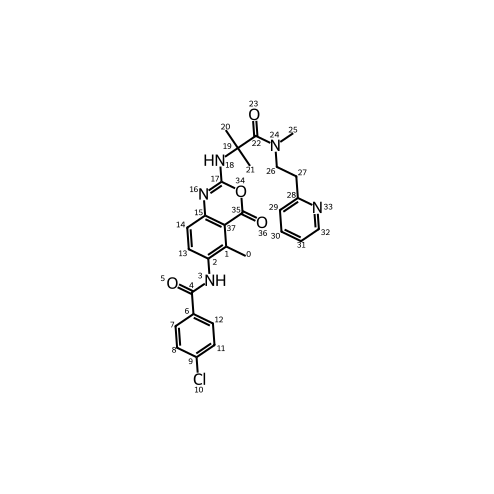 Cc1c(NC(=O)c2ccc(Cl)cc2)ccc2nc(NC(C)(C)C(=O)N(C)CCc3ccccn3)oc(=O)c12